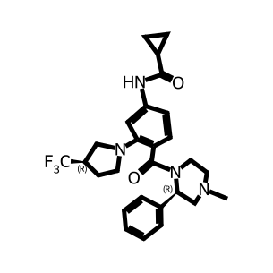 CN1CCN(C(=O)c2ccc(NC(=O)C3CC3)cc2N2CC[C@@H](C(F)(F)F)C2)[C@H](c2ccccc2)C1